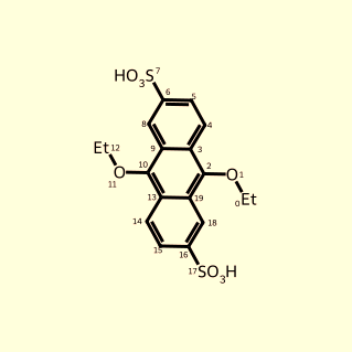 CCOc1c2ccc(S(=O)(=O)O)cc2c(OCC)c2ccc(S(=O)(=O)O)cc12